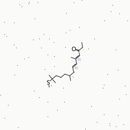 CCC(=O)/C=C(C)/C=C/CC(C)CCCC(C)(C)SC